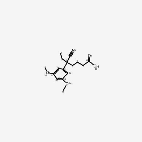 CCC(C#N)(CCCC(=O)O)c1cc(OC)cc(OC)c1